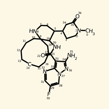 CN1CCC(C2CCNC3(CCCCCCCCC3)C2NC(=O)c2c(N)nn3cc(F)cnc23)CC1=O